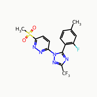 Cc1ccc(-c2nc(C(F)(F)F)nn2-c2ccc(S(C)(=O)=O)nn2)c(F)c1